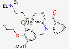 C=CCOc1c(OC)cc(Cn2c3ccccc3c(=O)c3ccc(SCCN(CC)CC)cc32)cc1OC